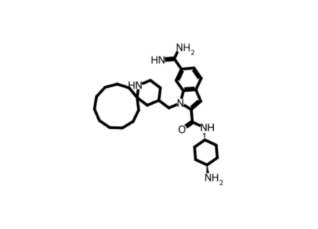 N=C(N)c1ccc2cc(C(=O)N[C@H]3CC[C@H](N)CC3)n(CC3CCNC4(CCCCCCCCCC4)C3)c2c1